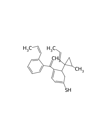 C=C(C1=CC=C(S)CC1C1(C=CC)CC1C)c1ccccc1/C=C\C